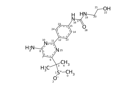 C[S+]([O-])C(C)(C)c1cc(N)nc(-c2ccc(NC(=O)NCCO)cc2)n1